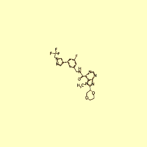 Cn1c(C2COCCO2)nc2ncnc(C(=O)NCc3cc(F)cc(-c4cnn(CC(F)(F)F)c4)c3)c21